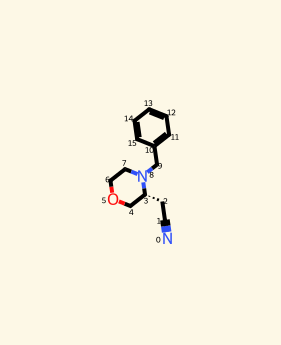 N#CC[C@@H]1COCCN1Cc1ccccc1